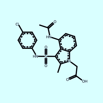 CC(=O)Nc1cccc2c1c(S(=O)(=O)Nc1ccc(Cl)cc1)c(C)n2CC(=O)O